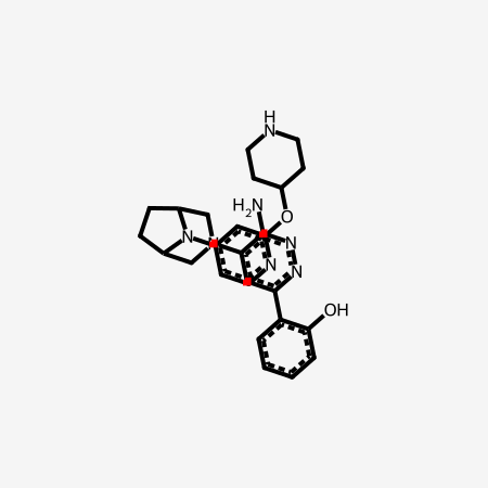 Nc1nnc(-c2ccccc2O)cc1N1CC2CCC(C1)N2c1ccnc(OC2CCNCC2)c1